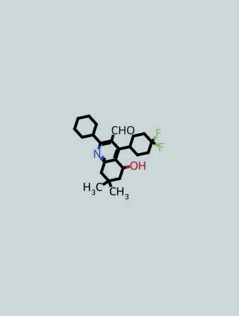 CC1(C)Cc2nc(C3CCCCC3)c(C=O)c(C3CCC(F)(F)CC3)c2C(O)C1